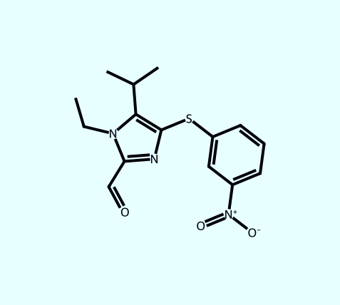 CCn1c(C=O)nc(Sc2cccc([N+](=O)[O-])c2)c1C(C)C